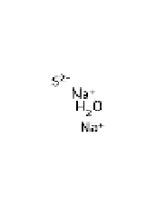 O.[Na+].[Na+].[S-2]